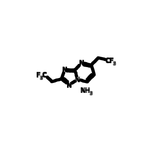 FC(F)(F)Cc1ccn2nc(CC(F)(F)F)nc2n1.N